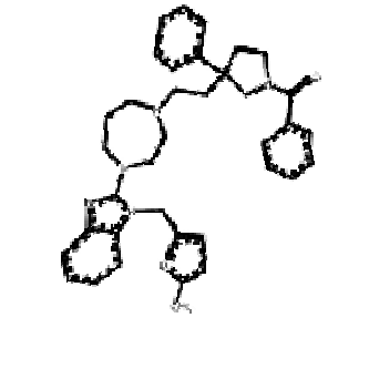 Cc1ccc(Cn2c(N3CCCN(CCC4(c5ccccc5)CCN(C(=O)c5ccccc5)C4)CC3)nc3ccccc32)o1